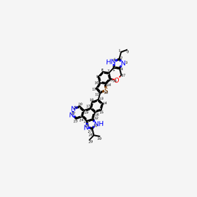 CCc1nc2c([nH]1)-c1ccc3cc(-c4ccc5c(c4)c4cnncc4c4nc(C(C)C)[nH]c54)sc3c1OC2